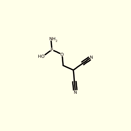 N#CC(C#N)COP(N)O